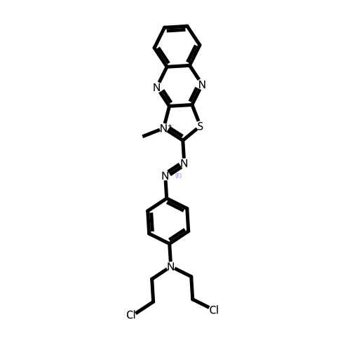 C[n+]1c(/N=N/c2ccc(N(CCCl)CCCl)cc2)sc2nc3ccccc3nc21